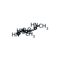 CCCC(=N)c1ccc(CCCC(=O)Oc2ccc(S(=O)(=O)NCCN3CCNCC3)cc2C)cc1